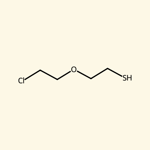 SCCOCCCl